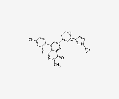 Cn1ncc2c(-c3ccc(Cl)cc3F)cc(C3=C[C@H](c4cnn(C5CC5)c4)OCC3)nc2c1=O